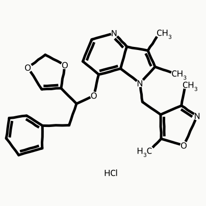 Cc1noc(C)c1Cn1c(C)c(C)c2nccc(OC(Cc3ccccc3)C3=COCO3)c21.Cl